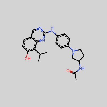 CC(=O)NC1CCN(c2ccc(Nc3ncc4ccc(O)c(C(C)C)c4n3)cc2)C1